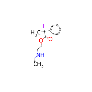 C=CNCCOC(=O)C(C)(I)c1ccccc1